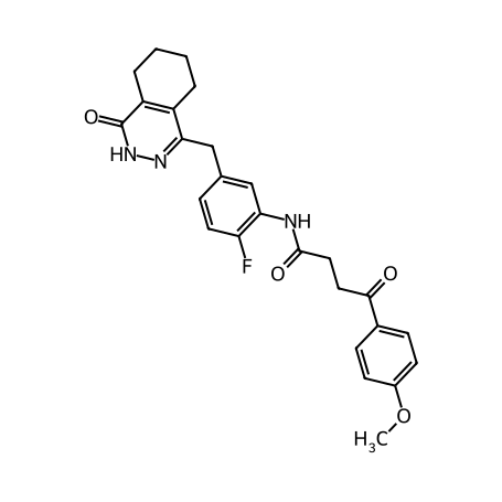 COc1ccc(C(=O)CCC(=O)Nc2cc(Cc3n[nH]c(=O)c4c3CCCC4)ccc2F)cc1